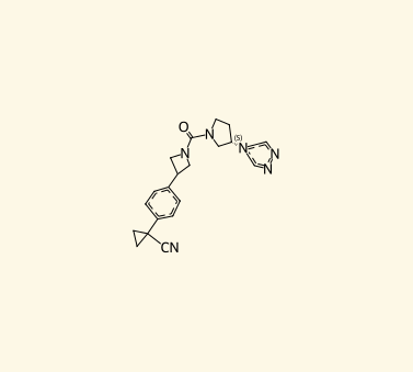 N#CC1(c2ccc(C3CN(C(=O)N4CC[C@H](n5cnnc5)C4)C3)cc2)CC1